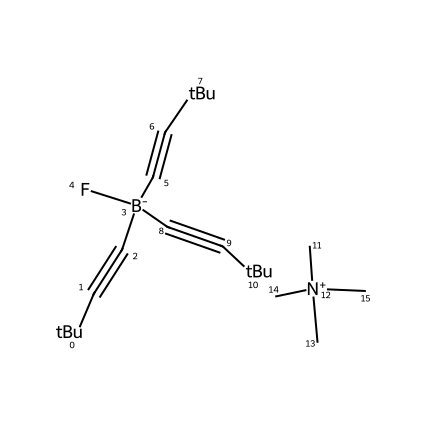 CC(C)(C)C#C[B-](F)(C#CC(C)(C)C)C#CC(C)(C)C.C[N+](C)(C)C